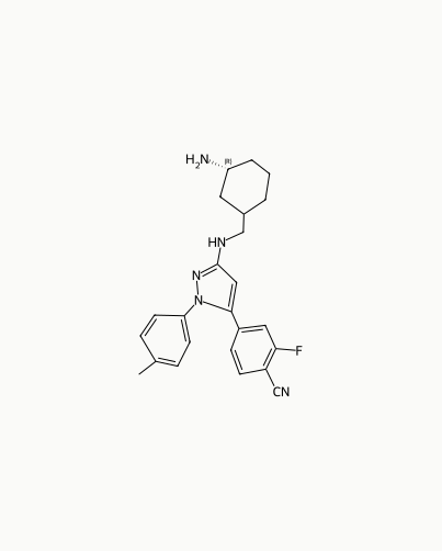 Cc1ccc(-n2nc(NCC3CCC[C@@H](N)C3)cc2-c2ccc(C#N)c(F)c2)cc1